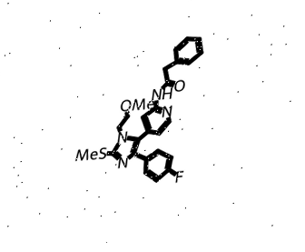 COCCn1c(SC)nc(-c2ccc(F)cc2)c1-c1ccnc(NC(=O)Cc2ccccc2)c1